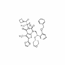 Cc1c(-c2ncco2)sc2c1c(=O)n(C(C)(C)C(=O)N1CCC1)c(=O)n2C[C@H](OC1CCOCC1)c1ccccc1OCc1ccccc1